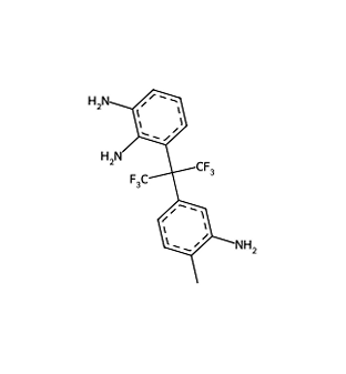 Cc1ccc(C(c2cccc(N)c2N)(C(F)(F)F)C(F)(F)F)cc1N